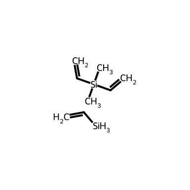 C=C[SiH3].C=C[Si](C)(C)C=C